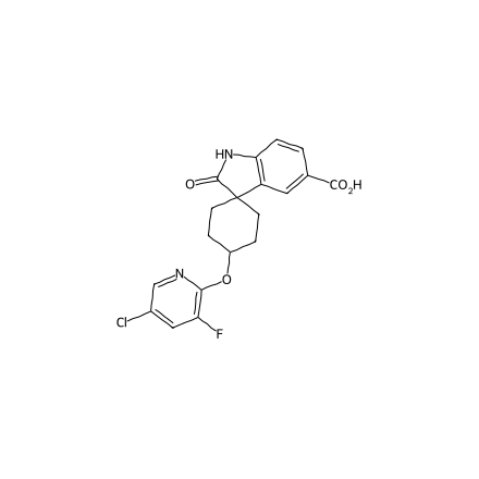 O=C(O)c1ccc2c(c1)C1(CCC(Oc3ncc(Cl)cc3F)CC1)C(=O)N2